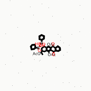 CC(=O)Oc1c2c(c(OC(C)=O)c3c1C(=O)c1ccccc1C3=O)[C@@H](OB(O)c1ccccc1)C[C@](OB(O)c1ccccc1)(C(C)OC(C)=O)C2